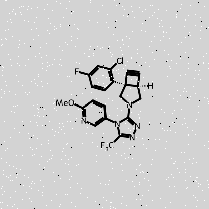 COc1ccc(-n2c(N3C[C@@H]4C#C[C@]4(c4ccc(F)cc4Cl)C3)nnc2C(F)(F)F)cn1